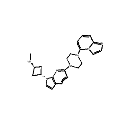 CN[C@H]1C[C@H](n2ccc3ccc(N4CCN(c5cccc6nccn56)CC4)nc32)C1